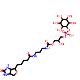 O=C(CCCCC1SCC2NC(=O)NC21)NCCCNC(=O)OCC(O)COP(=O)(O)OC1C(O)C(O)C(O)C(O)C1O